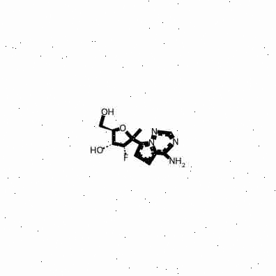 CC1(c2ccc3c(N)ncnn23)O[C@H](CO)[C@@H](O)[C@H]1F